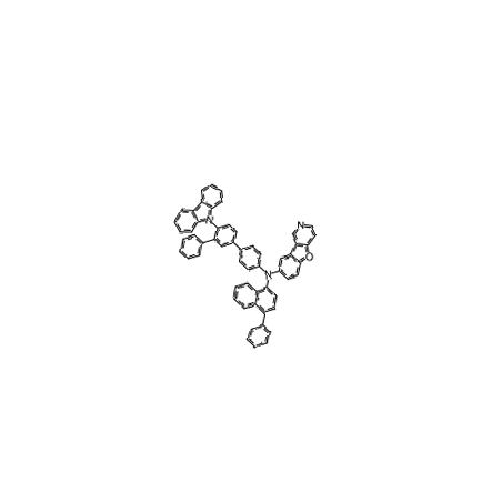 c1ccc(-c2cc(-c3ccc(N(c4ccc5oc6ccncc6c5c4)c4ccc(-c5ccccc5)c5ccccc45)cc3)ccc2-n2c3ccccc3c3ccccc32)cc1